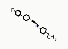 CC[C@H]1CC[C@H](/C=C/C#C[C@H]2CC[C@H](c3ccc(F)cc3)CC2)CC1